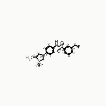 CCCN1C[C@H](c2ccc(NS(=O)(=O)c3cccc(CF)c3)cc2)C[C@H]1C